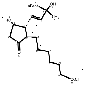 CCCCCC(C)(O)C=C[C@H]1[C@H](O)CC(=O)[C@@H]1CCCCCCC(=O)O